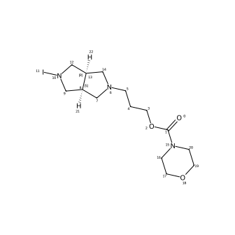 O=C(OCCCN1C[C@H]2CN(I)C[C@H]2C1)N1CCOCC1